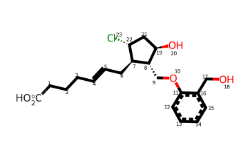 O=C(O)CCCC=CC[C@@H]1[C@@H](COc2ccccc2CO)[C@H](O)C[C@H]1Cl